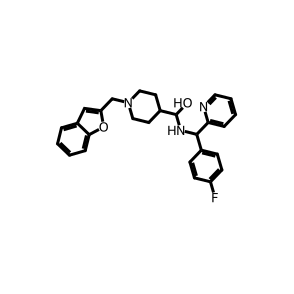 OC(NC(c1ccc(F)cc1)c1ccccn1)C1CCN(Cc2cc3ccccc3o2)CC1